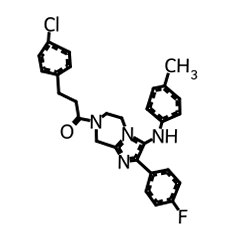 Cc1ccc(Nc2c(-c3ccc(F)cc3)nc3n2CCN(C(=O)CCc2ccc(Cl)cc2)C3)cc1